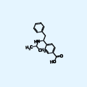 CC(C)NC(Cc1ccccc1)c1ccc(C(=O)O)cc1